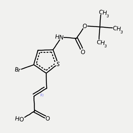 CC(C)(C)OC(=O)Nc1cc(Br)c(/C=C/C(=O)O)s1